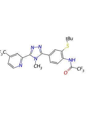 Cn1c(-c2ccc(NC(=O)C(F)(F)F)c(SC(C)(C)C)c2)nnc1-c1cc(C(F)(F)F)ccn1